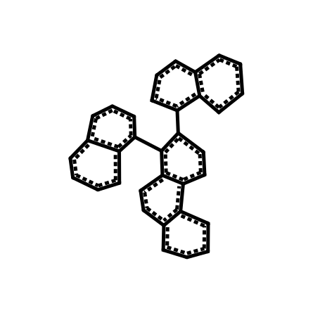 c1ccc2c(-c3ccc4c(ccc5ccccc54)c3-c3cccc4ccccc34)cccc2c1